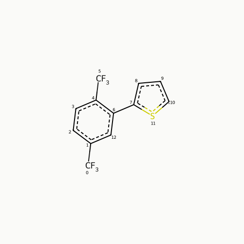 FC(F)(F)c1ccc(C(F)(F)F)c(-c2cc[c]s2)c1